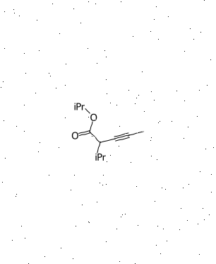 CC#CC(C(=O)OC(C)C)C(C)C